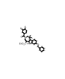 CCOC(=O)C1=CN(C(=O)c2ccc(F)c(F)c2)CC(C)(C)c2c1[nH]c1cc(OCc3ccccc3)ccc21